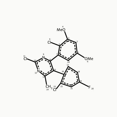 COc1cc(OC)c(Cl)c(-c2nc(Cl)nc(C)c2-c2ccc(F)cc2Cl)c1